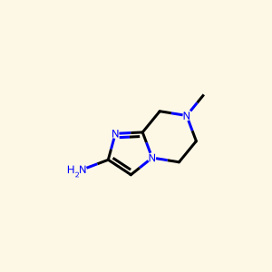 CN1CCn2cc(N)nc2C1